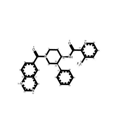 O=C(N[C@@H]1CCN(C(=O)c2ccc3ncncc3c2)C[C@@H]1c1ccccc1)c1ncccc1C(F)(F)F